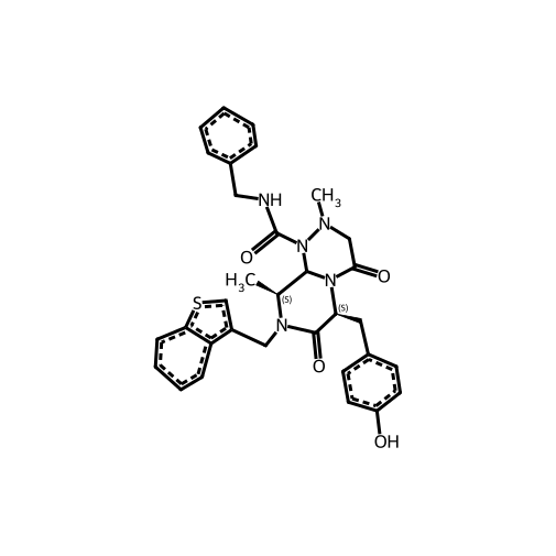 C[C@H]1C2N(C(=O)CN(C)N2C(=O)NCc2ccccc2)[C@@H](Cc2ccc(O)cc2)C(=O)N1Cc1csc2ccccc12